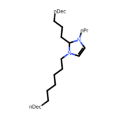 CCCCCCCCCCCCCCCCN1C=CN(CCC)C1CCCCCCCCCCCCC